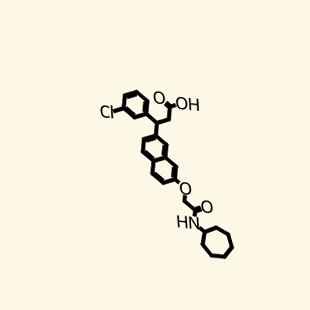 O=C(O)CC(c1cccc(Cl)c1)c1ccc2ccc(OCC(=O)NC3CCCCCC3)cc2c1